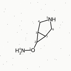 NOC1C2CNCC21